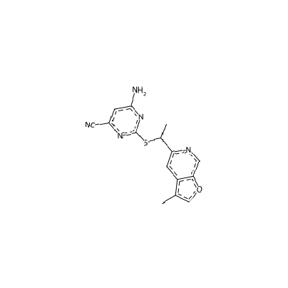 Cc1coc2cnc(C(C)Sc3nc(N)cc(C#N)n3)cc12